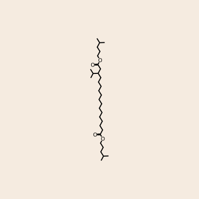 CC(C)CCCOC(=O)CCCCCCCCCCCCCC(CC(=O)OCCCC(C)C)C(C)C